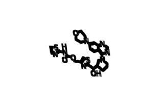 O=C(Nc1nccs1)OCc1csc(C(O)C2CCCN(c3ncnc4cc(N5CCOCC5)ccc34)C2)n1